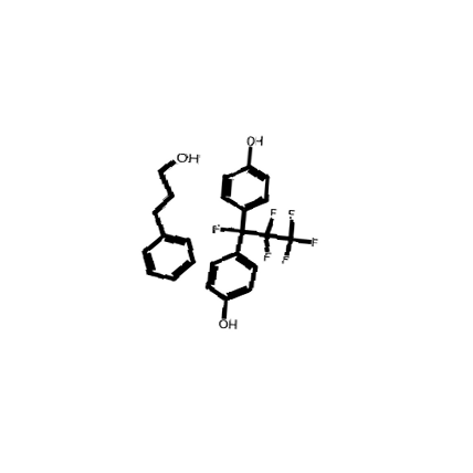 OCCCc1ccccc1.Oc1ccc(C(F)(c2ccc(O)cc2)C(F)(F)C(F)(F)F)cc1